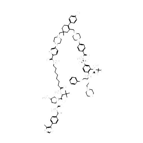 Cc1ncsc1-c1ccc([C@H](C)NC(=O)[C@@H]2C[C@@H](O)CN2C(=O)[C@@H](NC(=O)CCCCCCCNC(=O)c2ccc(N3CCN(CC4(C)CCC(c5ccc(Cl)cc5)=C(CN5CCN(c6ccc(C(=O)NS(=O)(=O)c7ccc(N[C@H](CCN8CCOCC8)CSc8ccccc8)c(S(=O)(=O)C(F)(F)F)c7)cc6)CC5)C4)CC3)cn2)C(C)(C)C)cc1